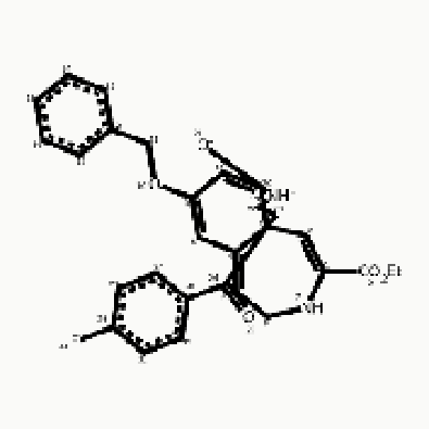 CCOC(=O)C1=CC23C(=CCN1)C=C(OCc1ccccc1)C=C2[NH+]([O-])CC3C(=O)c1ccc(F)cc1